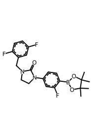 CC1(C)OB(c2ccc(N3CCN(Cc4cc(F)ccc4F)C3=O)cc2F)OC1(C)C